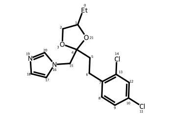 CCC1COC(CCc2ccc(Cl)cc2Cl)(Cn2ccnc2)O1